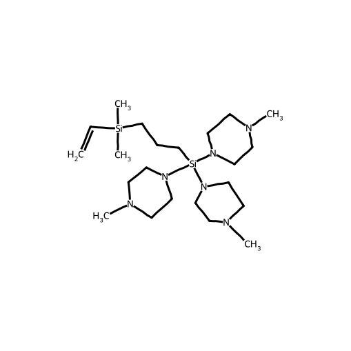 C=C[Si](C)(C)CCC[Si](N1CCN(C)CC1)(N1CCN(C)CC1)N1CCN(C)CC1